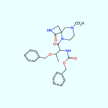 CC(OCc1ccccc1)C(NC(=O)OCc1ccccc1)C(=O)N1CCN(C(=O)O)CC12CNC2=O